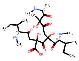 CCC(C)[C@@H](NC)C(=O)CC(O)(C(=O)O)C(=O)C(O)(CC(=O)C(C)(O)C(=O)[C@@H](C)NC)C(=O)[C@H](NC)C(C)CC